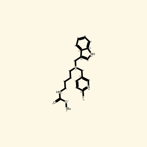 CC(C)(C)OC(=O)NCCCCN(Cc1ccc(F)nc1)Cc1c[nH]c2ccccc12